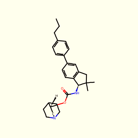 CCCc1ccc(-c2ccc3c(c2)CC(C)(C)[C@H]3NC(=O)O[C@@H]2CN3CCC2CC3)cc1